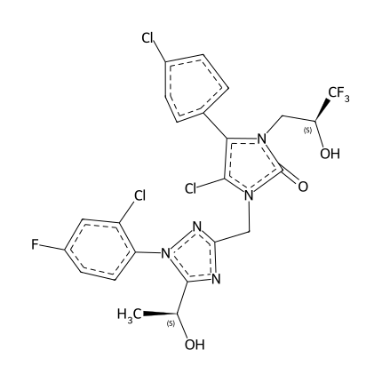 C[C@H](O)c1nc(Cn2c(Cl)c(-c3ccc(Cl)cc3)n(C[C@H](O)C(F)(F)F)c2=O)nn1-c1ccc(F)cc1Cl